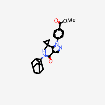 COC(=O)c1ccc(-n2ncc(C(=O)NC3C4CC5CC(C4)CC3C5)c2C2(C)CC2)cc1